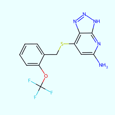 Nc1cc(SCc2ccccc2OC(F)(F)F)c2nn[nH]c2n1